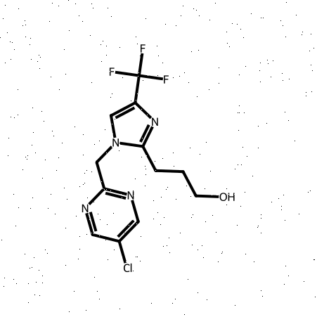 OCCCc1nc(C(F)(F)F)cn1Cc1ncc(Cl)cn1